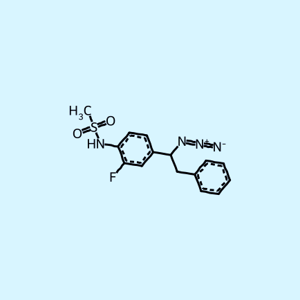 CS(=O)(=O)Nc1ccc(C(Cc2ccccc2)N=[N+]=[N-])cc1F